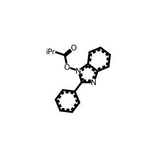 CC(C)C(=O)On1c(-c2ccccc2)nc2ccccc21